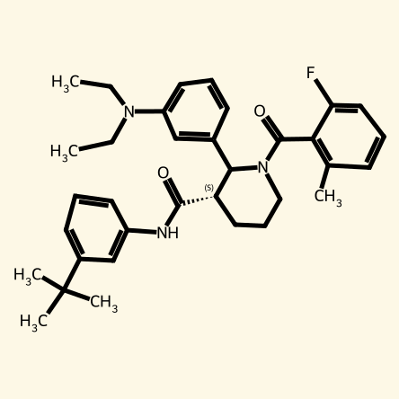 CCN(CC)c1cccc(C2[C@@H](C(=O)Nc3cccc(C(C)(C)C)c3)CCCN2C(=O)c2c(C)cccc2F)c1